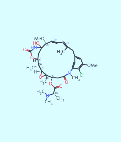 COc1cc2cc(c1Cl)N(C)C(=O)C[C@H](OC(=O)[C@H](C)N(C)C)[C@]1(C)O[C@H]1[C@H](C)[C@@H]1CC(O)(NC(=O)O1)[C@H](OC)/C=C/C=C(\C)C2